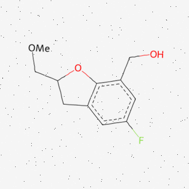 COCC1Cc2cc(F)cc(CO)c2O1